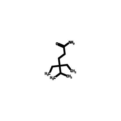 CCC(CC)(CCC(N)=O)C(C)C